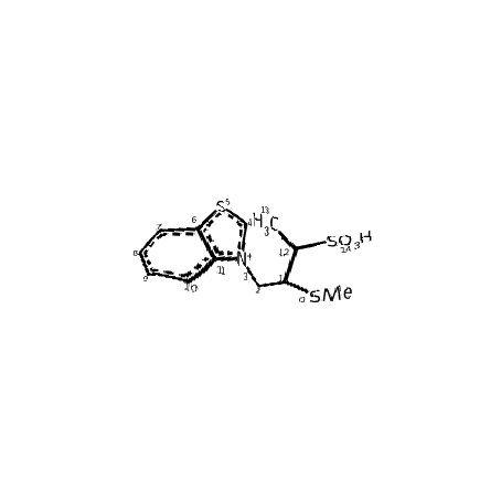 CSC(C[n+]1csc2ccccc21)C(C)S(=O)(=O)O